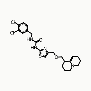 O=C(NCc1ccc(Cl)c(Cl)c1)Nc1nc(COCC2CCCN3CCCC=C23)cs1